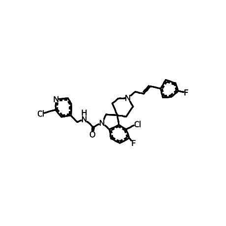 O=C(NCc1ccnc(Cl)c1)N1CC2(CCN(CC=Cc3ccc(F)cc3)CC2)c2c1ccc(F)c2Cl